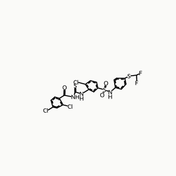 O=C(NC(=S)Nc1cc(S(=O)(=O)Nc2ccc(SC(F)F)cc2)ccc1Cl)c1ccc(Cl)cc1Cl